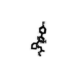 CSC(C)CN1CCCCC1c1nc(-c2ccc(F)cc2)c[nH]1